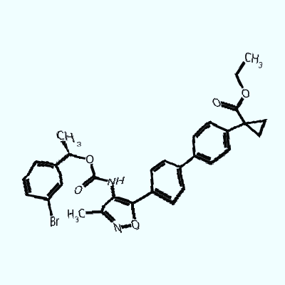 CCOC(=O)C1(c2ccc(-c3ccc(-c4onc(C)c4NC(=O)O[C@H](C)c4cccc(Br)c4)cc3)cc2)CC1